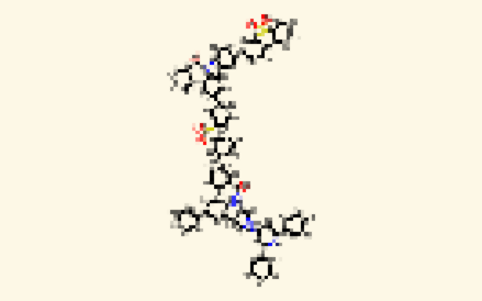 O=c1c2ccccc2c2cc(-c3ccc4c(c3)S(=O)(=O)c3cc(-c5ccc6c(c5)c(=O)n5c7cn(-c8cc(-c9ccccc9)nc(-c9ccccc9)c8)cc7c7cc(-c8ccccc8)cc6c75)ccc3-4)cc3c4cc(-c5ccc6c(c5)S(=O)(=O)c5ccccc5-6)ccc4n1c23